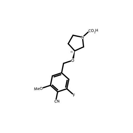 COc1cc(CO[C@H]2CCN(C(=O)O)C2)cc(F)c1C#N